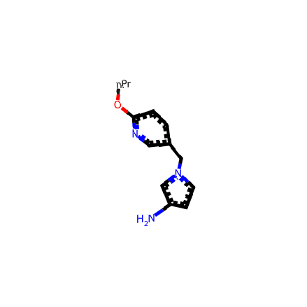 CCCOc1ccc(Cn2ccc(N)c2)cn1